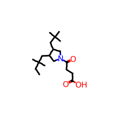 CCC(C)(C)CC1CN(C(=O)CCC(=O)O)CC1CC(C)(C)C